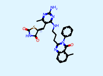 Cc1nc(N)nc(NCCCc2nc3cccc(C)c3c(=O)n2-c2ccccc2)c1/C=C1\SC(=O)NC1=O